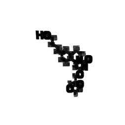 O=c1nc(OCC2COCCO2)cc2n1CCc1cc(CCCCO)ccc1-2